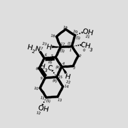 C[C@]12CC[C@H]3C(=C(N)C=C4C[C@@H](O)CC[C@@]43C)[C@@H]1CC[C@@H]2O